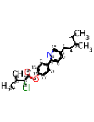 CCC(C)CCc1ccc(-c2ccc(OC(=O)C(Cl)C(C)C)cc2)nc1